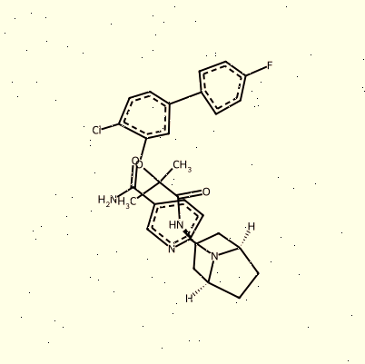 CC(C)(Oc1cc(-c2ccc(F)cc2)ccc1Cl)C(=O)N[C@H]1C[C@H]2CC[C@@H](C1)N2c1ccc(C(N)=O)cn1